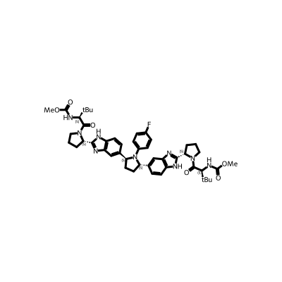 COC(=O)N[C@H](C(=O)N1CCC[C@H]1c1nc2cc([C@@H]3CC[C@@H](c4ccc5[nH]c([C@@H]6CCCN6C(=O)[C@@H](NC(=O)OC)C(C)(C)C)nc5c4)N3c3ccc(F)cc3)ccc2[nH]1)C(C)(C)C